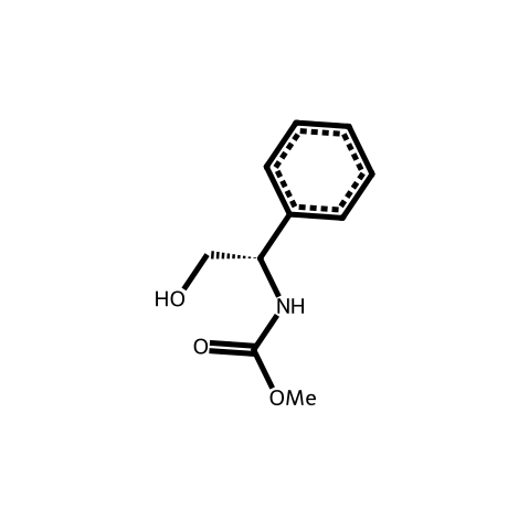 COC(=O)N[C@H](CO)c1ccccc1